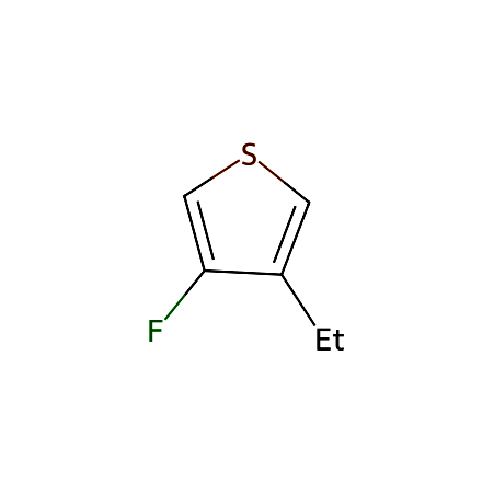 CCc1cscc1F